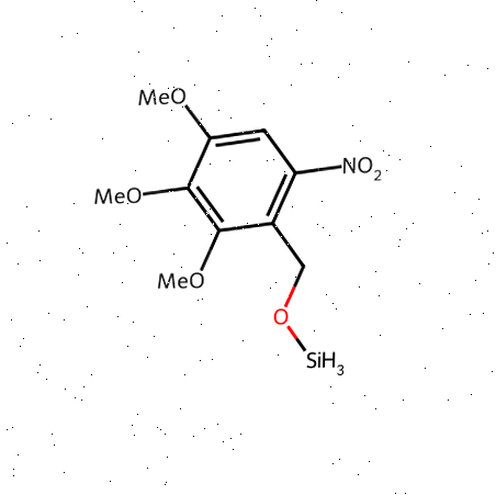 COc1cc([N+](=O)[O-])c(CO[SiH3])c(OC)c1OC